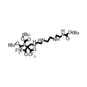 CC(C)(C)OC(=O)NCCNCCNCCNCC(C(=O)C(F)(F)F)(C(=O)C(F)(F)F)N(C(=O)OC(C)(C)C)C(=O)OC(C)(C)C